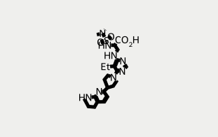 CCc1c(NCC(NS(=O)(=O)N(C)C)C(=O)O)ncnc1N1CCC(c2ccc3c(n2)NCCC3)CC1